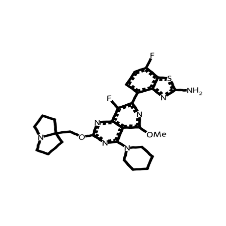 COc1nc(-c2ccc(F)c3sc(N)nc23)c(F)c2nc(OCC34CCCN3CCC4)nc(N3CCCCC3)c12